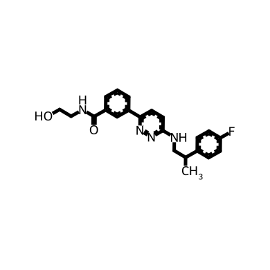 CC(CNc1ccc(-c2cccc(C(=O)NCCO)c2)nn1)c1ccc(F)cc1